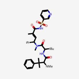 CNC(C(=O)NC(C(=O)N(C)C(C=C(C)C(=O)NS(=O)(=O)c1cccnc1)C(C)C)C(C)(C)C)C(C)(C)c1ccccc1